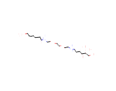 O=C(CCCCCO)NCCOCCOCCNC[C@H](O)[C@@H](O)[C@@H](O)[C@@H](O)CO